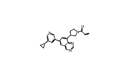 C=CC(=O)N1CCC(c2cc(-c3cncc(C4CC4)c3)cc3cncnc23)C1